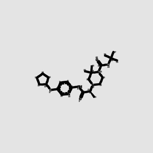 C[C@@H](C(=O)Nc1ccc(OC2CCCC2)cn1)N1CCN(C(=O)OC(C)(C)C)C(C)(C)C1